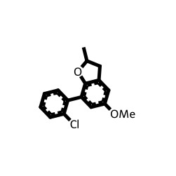 COc1cc2c(c(-c3ccccc3Cl)c1)OC(C)C2